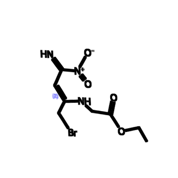 CCOC(=O)CN/C(=C\C(=N)[N+](=O)[O-])CBr